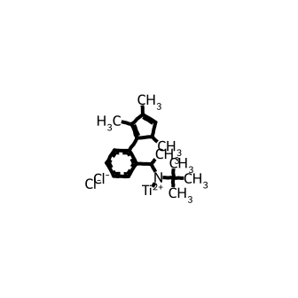 CC1=CC(C)C(c2ccccc2C(C)[N]([Ti+2])C(C)(C)C)=C1C.[Cl-].[Cl-]